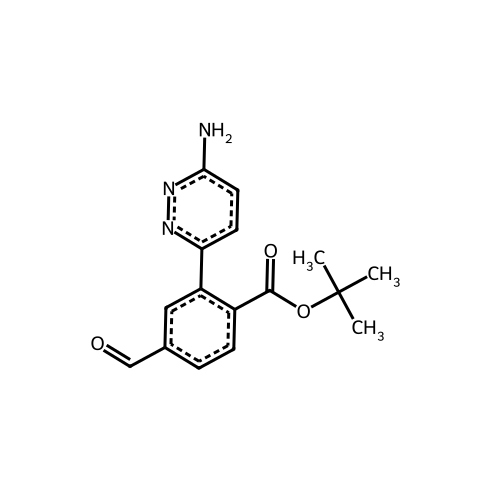 CC(C)(C)OC(=O)c1ccc(C=O)cc1-c1ccc(N)nn1